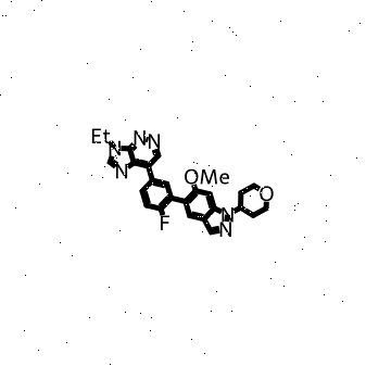 CCn1cnc2c(-c3ccc(F)c(-c4cc5cnn(C6CCOCC6)c5cc4OC)c3)cnnc21